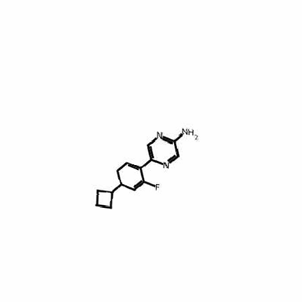 Nc1cnc(C2=CCC(C3CCC3)C=C2F)cn1